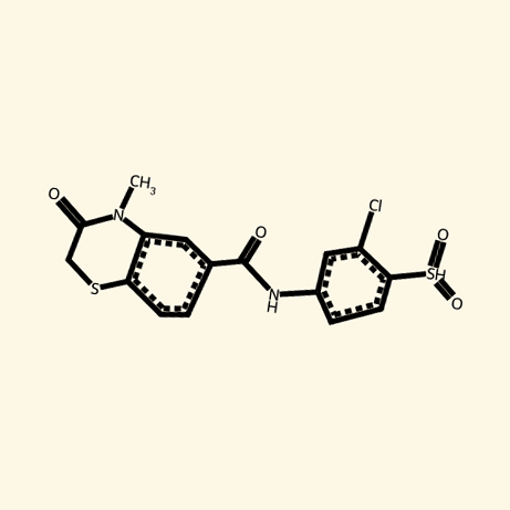 CN1C(=O)CSc2ccc(C(=O)Nc3ccc([SH](=O)=O)c(Cl)c3)cc21